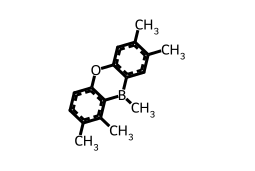 CB1c2cc(C)c(C)cc2Oc2ccc(C)c(C)c21